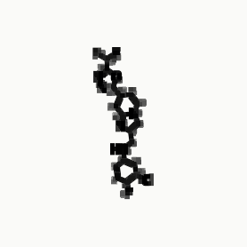 Fc1ccc(NCc2cn3ccc(-c4nnc(C(F)F)o4)cc3n2)cc1Cl